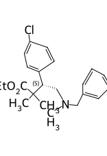 CCOC(=O)C(C)(C)[C@@H](CN(C)Cc1ccccc1)c1ccc(Cl)cc1